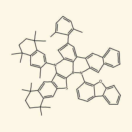 Cc1cc2c(cc1N1c3cc(-c4c(C)cccc4C)cc4c3B(c3sc5cc6c(cc5c31)C(C)(C)CCC6(C)C)N(c1cccc3c1oc1ccccc13)c1cc3ccccc3cc1-4)C(C)(C)CCC2(C)C